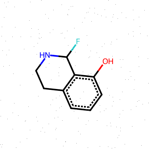 Oc1cccc2c1C(F)NCC2